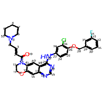 O=C(/C=C/CN1CCCCC1)N1CCOc2cc3ncnc(Nc4ccc(OCc5cccc(F)c5)c(Cl)c4)c3cc21